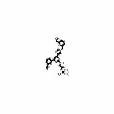 CCc1cccc(Cn2cc(-c3cc(-c4cccc(C#N)c4)nc(NCC(=O)OC(C)(C)C)n3)nn2)n1